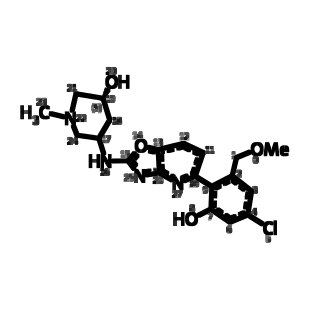 COCc1cc(Cl)cc(O)c1-c1ccc2oc(NC3C[C@H](O)CN(C)C3)nc2n1